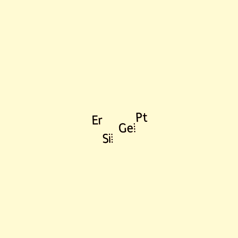 [Er].[Ge].[Pt].[Si]